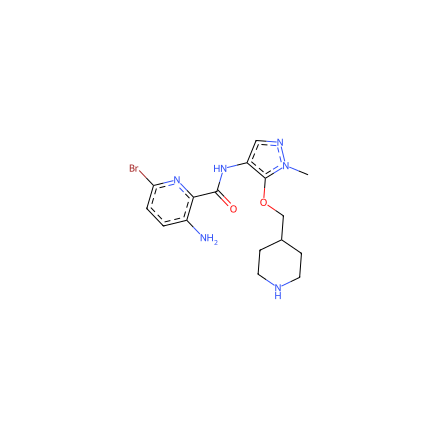 Cn1ncc(NC(=O)c2nc(Br)ccc2N)c1OCC1CCNCC1